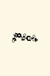 CC(C)(C)OC(=O)N1CCC(N2CCN(c3ccc4cnn(C5COC5)c4c3)C2=O)CC1